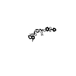 O=C(CN1CCN(C[C@@H](O)COc2ccc3oc(-c4ccccc4)nc3c2)CC1)Nc1ccc(F)c2c1CCCC2